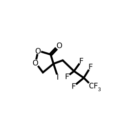 O=C1OOCC1(I)CC(F)(F)C(F)(F)C(F)(F)F